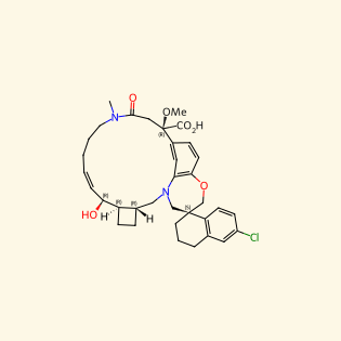 CO[C@]1(C(=O)O)CC(=O)N(C)CCCC=C[C@H](O)[C@@H]2CC[C@H]2CN2C[C@@]3(CCCc4cc(Cl)ccc43)COc3ccc1cc32